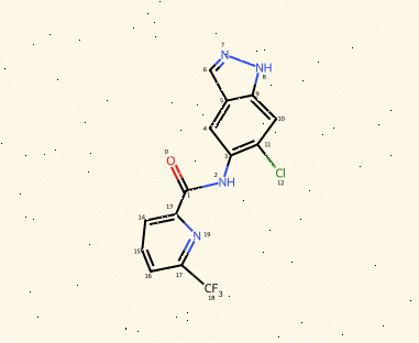 O=C(Nc1cc2cn[nH]c2cc1Cl)c1cccc(C(F)(F)F)n1